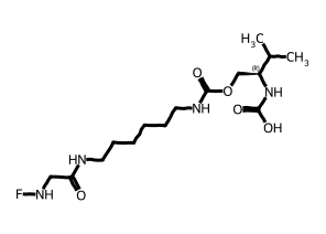 CC(C)[C@H](COC(=O)NCCCCCCNC(=O)CNF)NC(=O)O